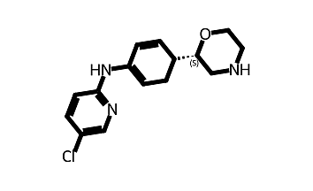 Clc1ccc(NC2=CCC([C@H]3CNCCO3)C=C2)nc1